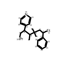 CCC(CC(C)(C)C(C)C(CC(C)C)c1ccncc1)c1ccccc1